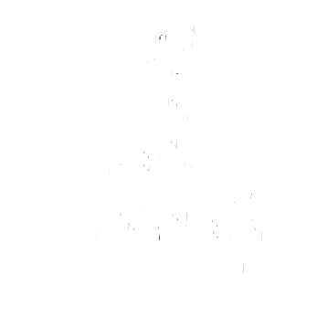 CC(C)(C#Cc1ccc(-c2ccc(Cl)c3c(N(C(=O)C(=O)NCCCC(O)(P(=O)(O)O)P(=O)(O)O)S(C)(=O)=O)nn(CC(F)(F)F)c23)c([C@H](Cc2cc(F)cc(F)c2)NC(=O)Cn2nc(C(F)(F)F)c3c2C(F)(F)[C@@H]2C[C@H]32)n1)S(C)(=O)=O